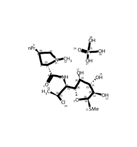 CCC[C@@H]1C[C@@H](C(=O)N[C@@H]([C@H]2O[C@H](SC)[C@H](O)[C@@H](O)[C@H]2O)[C@H](C)Cl)N(C)C1.O=P(O)(O)O